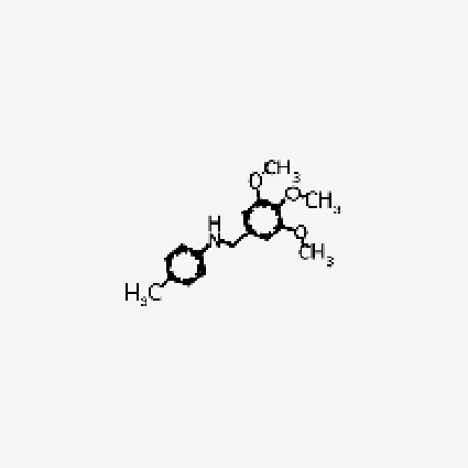 COc1cc(CNc2ccc(C)cc2)cc(OC)c1OC